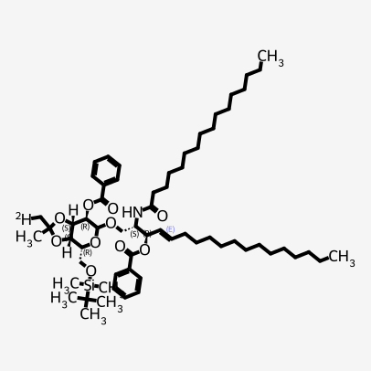 [2H]CC1(C)O[C@@H]2[C@H](O1)[C@@H](OC(=O)c1ccccc1)C(OC[C@H](NC(=O)CCCCCCCCCCCCCCC)[C@@H](/C=C/CCCCCCCCCCCCC)OC(=O)c1ccccc1)O[C@@H]2CO[Si](C)(C)C(C)(C)C